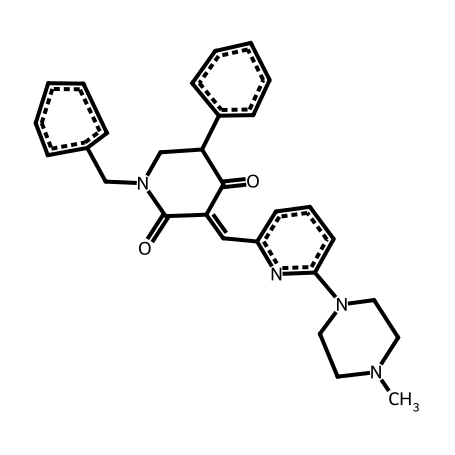 CN1CCN(c2cccc(C=C3C(=O)C(c4ccccc4)CN(Cc4ccccc4)C3=O)n2)CC1